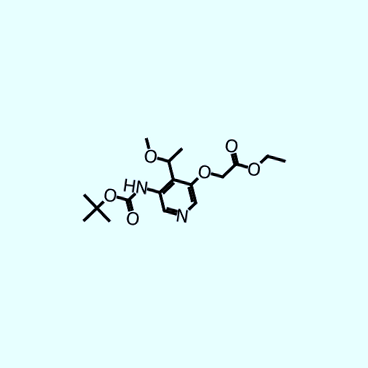 CCOC(=O)COc1cncc(NC(=O)OC(C)(C)C)c1C(C)OC